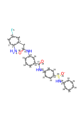 Nc1ccc(F)cc1CC(=O)Nc1cccc(C(=O)Nc2ccc([S+]([O-])Nc3ccccc3)cc2)c1